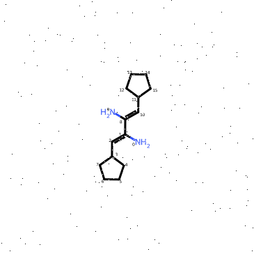 NC(=CC1CCCC1)C(N)=CC1CCCC1